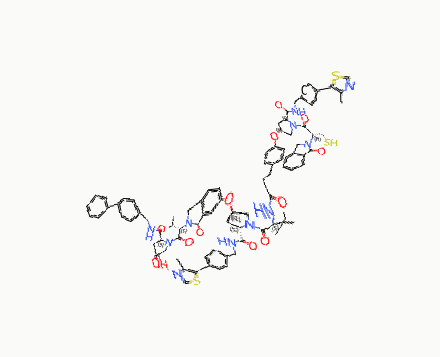 Cc1ncsc1-c1ccc(CNC(=O)[C@@H]2C[C@@H](Oc3ccc4c(c3)C(=O)N([C@H](C(=O)N3C[C@H](O)C[C@H]3C(=O)NCc3ccc(-c5ccccc5)cc3)C(C)C)C4)CN2C(=O)[C@@H](NC(=O)CCc2ccc(O[C@@H]3C[C@@H](C(=O)NCc4ccc(-c5scnc5C)cc4)N(C(=O)[C@H](CS)N4Cc5ccccc5C4=O)C3)cc2)C(C)(C)C)cc1